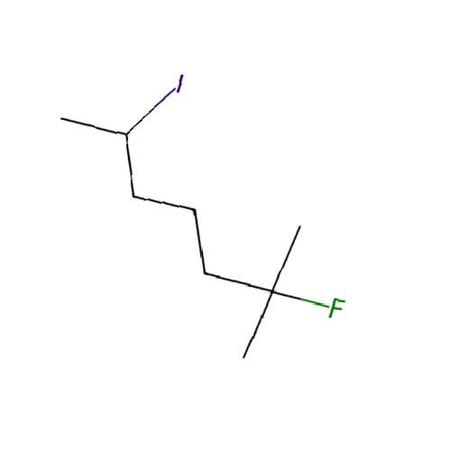 CC(I)CCCC(C)(C)F